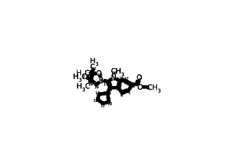 COC(=O)c1ccc2c(C3CCCC3)c(B3CC(C)(C)C(C)(C)O3)n(C)c2c1